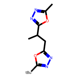 Cc1nnc(C(C)Cc2nnc(C(C)(C)C)o2)o1